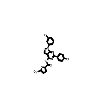 O=C(Nc1nc(-c2ccc(Cl)cc2)nc2c1cnn2-c1cccc(Cl)c1)c1ccc([N+](=O)[O-])s1